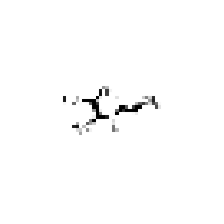 C=CC[SiH2]C(C)=C(C)C